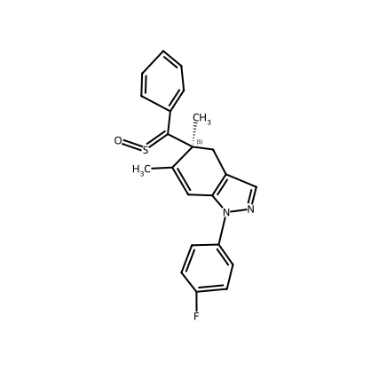 CC1=Cc2c(cnn2-c2ccc(F)cc2)C[C@]1(C)C(=S=O)c1ccccc1